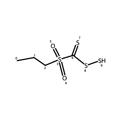 CCCS(=O)(=O)C(=S)SS